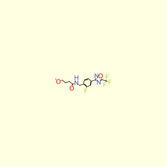 COCCCC(=O)NCc1ccc(-c2noc(C(F)(F)F)n2)cc1F